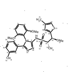 COc1cccc(OC)c1-n1c(NS(=O)(=O)[C@@H](C)[C@H](OC)c2nc(C)cs2)nnc1-c1cncc(C)c1